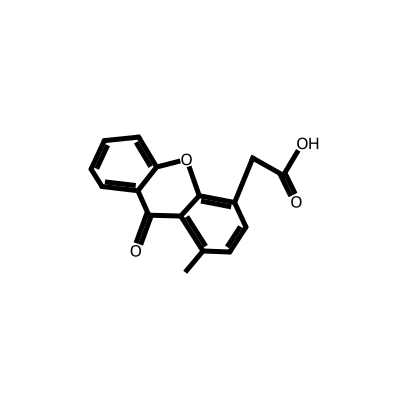 Cc1ccc(CC(=O)O)c2oc3ccccc3c(=O)c12